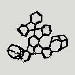 c1ccc2c(c1)-c1ccccc1C21c2ccccc2-c2c1cc1c3c4c(ncc3n3c5cnc6c(c5c2c13)C1CC2CC3CC6CC32C1)C1CC2CC(C1)CC4C2